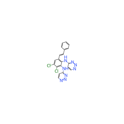 Clc1cc(C=Cc2ccccc2)c(Nc2ccnnn2)c(Nc2ccnnn2)c1Cl